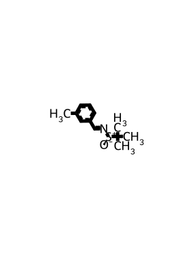 Cc1cccc(/C=N/[S@+]([O-])C(C)(C)C)c1